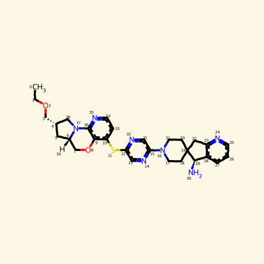 CCOC[C@H]1C[C@H]2COc3c(Sc4cnc(N5CCC6(CC5)Cc5ncccc5[C@H]6N)cn4)ccnc3N2C1